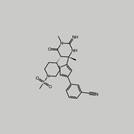 CN1C(=N)N[C@](C)(c2cc(-c3cccc(C#N)c3)cs2)[C@H](C2CCN(S(C)(=O)=O)CC2)C1=O